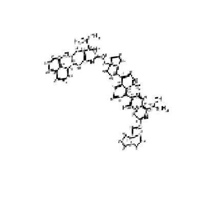 CC(C)c1nc(OCC23CCCN2C(c2ccc(Cl)c4c(-c5ncc6c(C(C)C)nc(OCC78CCCN7CCC8)nc6c5F)cccc24)CC3)nc2c1CCN(c1cccc3cccc(Cl)c13)C2